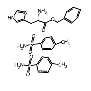 Cc1ccc(S(N)(=O)=O)cc1.Cc1ccc(S(N)(=O)=O)cc1.N[C@@H](Cc1c[nH]cn1)C(=O)OCc1ccccc1